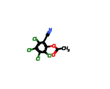 CC(=O)Oc1c(Cl)c(Cl)c(Cl)c(Cl)c1C#N